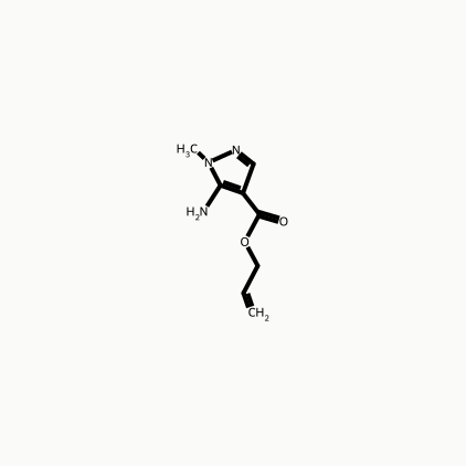 C=CCOC(=O)c1cnn(C)c1N